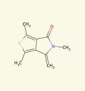 C=C1c2c(C)sc(C)c2C(=O)N1C